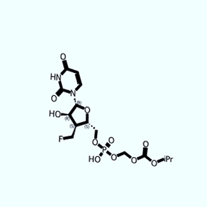 CC(C)OC(=O)OCOP(=O)(O)OC[C@H]1O[C@@H](n2ccc(=O)[nH]c2=O)[C@H](O)[C@@H]1CF